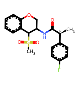 C[C@H](C(=O)NC1COc2ccccc2C1S(C)(=O)=O)c1ccc(F)cc1